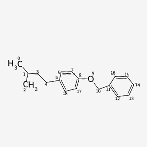 CC(C)CCc1ccc(OCc2ccccc2)cc1